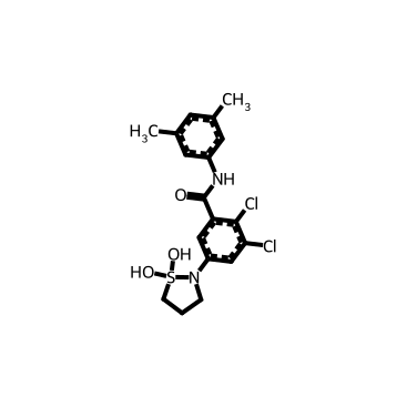 Cc1cc(C)cc(NC(=O)c2cc(N3CCCS3(O)O)cc(Cl)c2Cl)c1